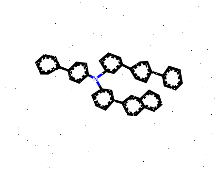 c1ccc(-c2ccc(-c3cccc(N(c4ccc(-c5ccccc5)cc4)c4cccc(-c5ccc6ccccc6c5)c4)c3)cc2)cc1